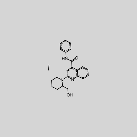 CC.O=C(Nc1ccccc1)c1cc(N2CCCCC2CO)nc2ccccc12